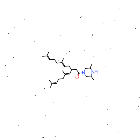 CC(C)=CCC/C(C)=C/CC(/C=C(\C)CCC=C(C)C)CC(=O)N1CC(C)NC(C)C1